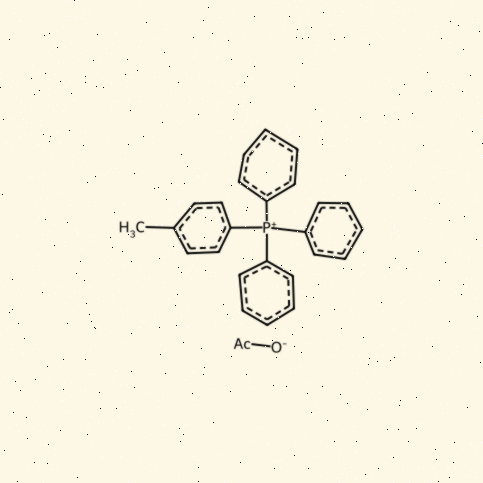 CC(=O)[O-].Cc1ccc([P+](c2ccccc2)(c2ccccc2)c2ccccc2)cc1